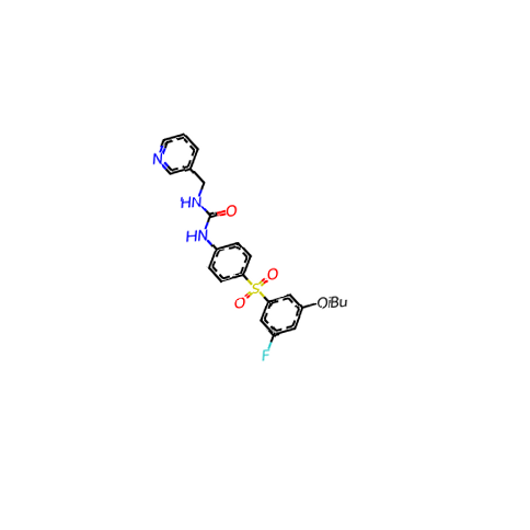 CC(C)COc1cc(F)cc(S(=O)(=O)c2ccc(NC(=O)NCc3cccnc3)cc2)c1